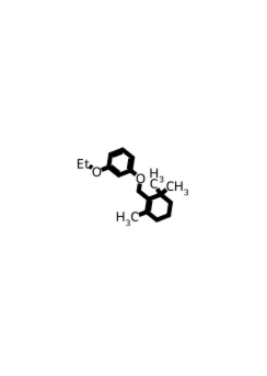 CCOc1cccc(OCC2=C(C)CCCC2(C)C)c1